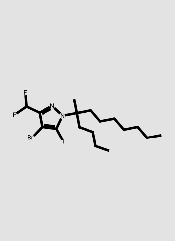 CCCCCCCC(C)(CCCC)n1nc(C(F)F)c(Br)c1I